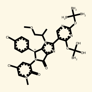 BC(B)(B)Oc1ncc(-c2nc3c(n2C(C)COC)[C@H](c2ccc(Cl)cc2)N(c2cc(Cl)cn(C)c2=O)C3=O)c(OC(B)(O)O)n1